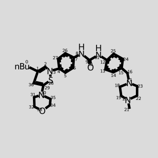 CCCCC1=CN(c2ccc(NC(=O)Nc3ccc(CN4CCN(C)CC4)cc3)cc2)SC(N2CCOCC2)=C1